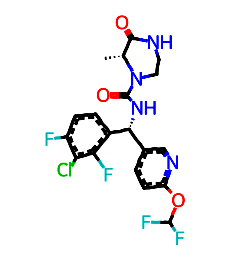 C[C@@H]1C(=O)NCCN1C(=O)N[C@H](c1ccc(OC(F)F)nc1)c1ccc(F)c(Cl)c1F